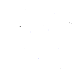 C=CC(=O)N1C[C@H](c2cc(Cl)nc(-c3cc(C(=O)NC)ncn3)c2)N(S(C)(=O)=O)C[C@H]1COC.CC(C)(C)OC(=O)N1C[C@@H](c2cc(Cl)nc(Br)c2)N(S(C)(=O)=O)C[C@@H]1CO